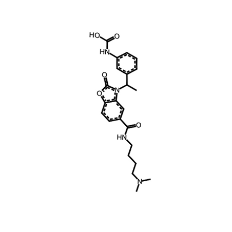 CC(c1cccc(NC(=O)O)c1)n1c(=O)oc2ccc(C(=O)NCCCCN(C)C)cc21